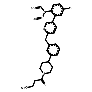 COCCC(=O)N1CCC(c2cccc(Cc3ccc(-c4cc(Cl)ccc4N(C=N)N=N)cn3)c2)CC1